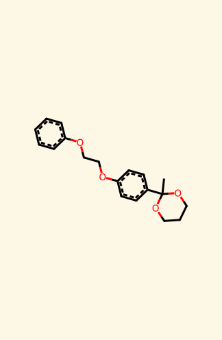 CC1(c2ccc(OCCOc3ccccc3)cc2)OCCCO1